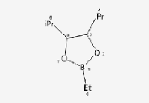 CCB1OC(C(C)C)C(C(C)C)O1